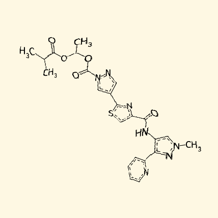 CC(OC(=O)C(C)C)OC(=O)n1cc(-c2nc(C(=O)Nc3cn(C)nc3-c3ccccn3)cs2)cn1